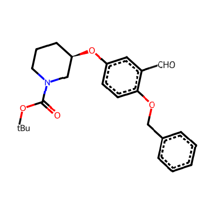 CC(C)(C)OC(=O)N1CCC[C@@H](Oc2ccc(OCc3ccccc3)c(C=O)c2)C1